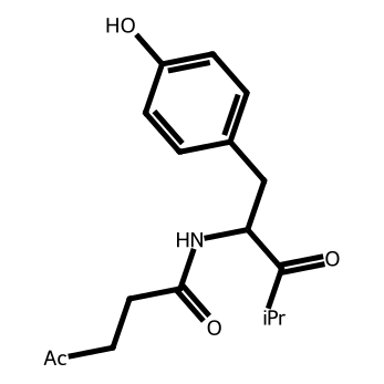 CC(=O)CCC(=O)NC(Cc1ccc(O)cc1)C(=O)C(C)C